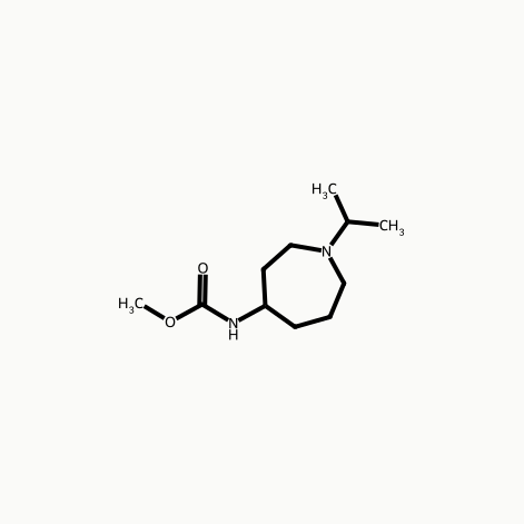 COC(=O)NC1CCCN(C(C)C)CC1